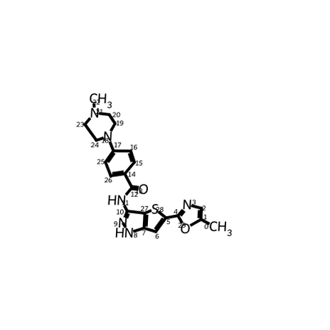 Cc1cnc(-c2cc3[nH]nc(NC(=O)c4ccc(N5CCN(C)CC5)cc4)c3s2)o1